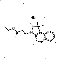 Br.CCOC(=O)CCN1c2ccc3ccccc3c2C(C)(C)C1C